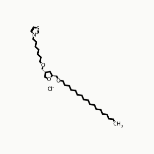 CCCCCCCCCCCCCCCCCCOC[C@@H]1C[C@@H](COCCCCCCC[n+]2ccsc2)CO1.[Cl-]